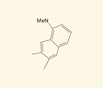 CNc1cccc2cc(C)c(C)cc12